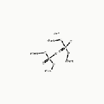 CCCCCOP(=O)([O-])OCCCCC.CCCCCOP(=O)([O-])OCCCCC.[Zn+2]